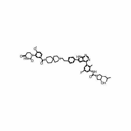 COc1ccc(C(=O)N2CCC3(CCN(CCc4ccc(-c5cc6c(-c7cc(F)cc(NC(=O)N8C[C@@H](CC(C)C)[C@@H](O)C8)c7C)ncnc6[nH]5)cc4)CC3)CC2)cc1N1CCC(=O)NC1=O